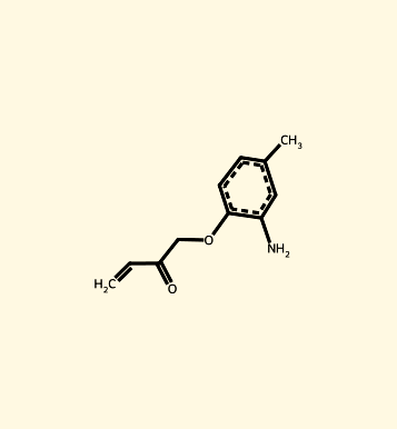 C=CC(=O)COc1ccc(C)cc1N